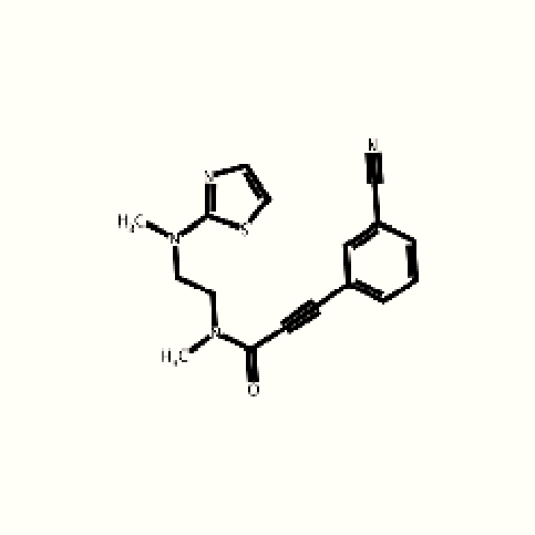 CN(CCN(C)c1nccs1)C(=O)C#Cc1cccc(C#N)c1